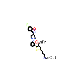 CCCCCCCC/C=C\CCCCCC(CS)C(CCC)Oc1[c]cccc1N1CCC(c2noc3cc(F)ccc23)CC1